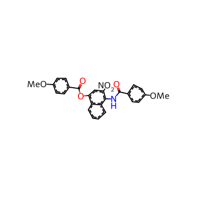 COc1ccc(C(=O)Nc2c([N+](=O)[O-])cc(OC(=O)c3ccc(OC)cc3)c3ccccc23)cc1